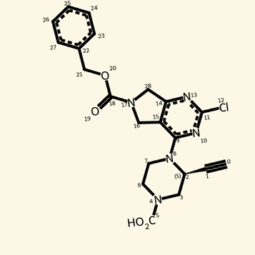 C#C[C@H]1CN(C(=O)O)CCN1c1nc(Cl)nc2c1CN(C(=O)OCc1ccccc1)C2